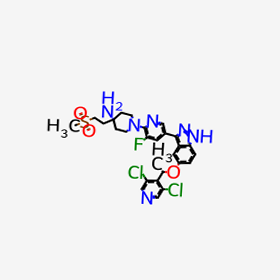 C[C@@H](Oc1ccc2[nH]nc(-c3cnc(N4CCC(N)(CCS(C)(=O)=O)CC4)c(F)c3)c2c1)c1c(Cl)cncc1Cl